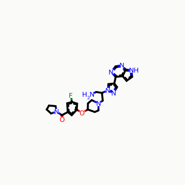 NCC(CN1CCC(Oc2cc(F)cc(C(=O)N3CCCC3)c2)CC1)n1cc(-c2ncnc3[nH]ccc23)cn1